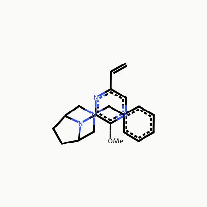 C=Cc1cnc(OC)c(N2C3CCC2CN(Cc2ccccc2)C3)n1